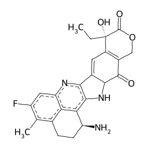 CC[C@@]1(O)C(=O)OCC2=C1C=C1c3nc4cc(F)c(C)c5c4c(c3NC1C2=O)[C@@H](N)CC5